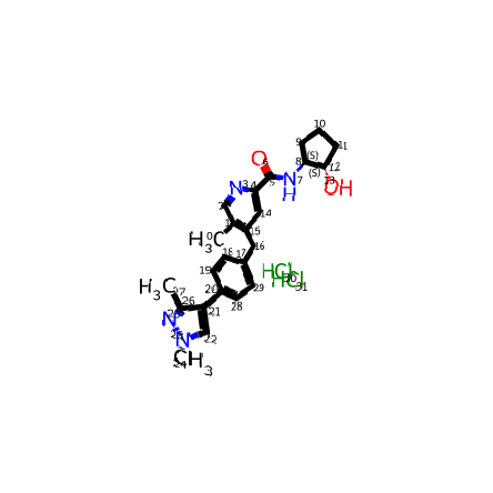 Cc1cnc(C(=O)N[C@H]2CCC[C@@H]2O)cc1Cc1ccc(-c2cn(C)nc2C)cc1.Cl.Cl